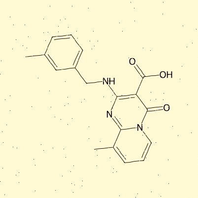 Cc1cccc(CNc2nc3c(C)cccn3c(=O)c2C(=O)O)c1